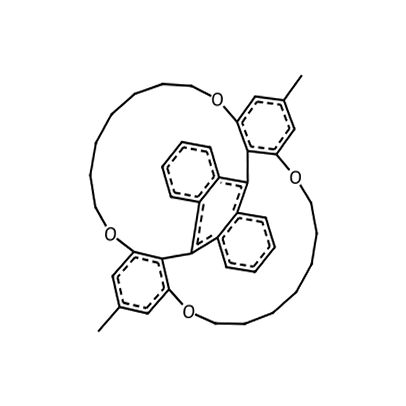 Cc1cc2c3c(c1)OCCCCCCCOc1cc(C)cc(c1-c1c4ccccc4c-3c3ccccc13)OCCCCCCCO2